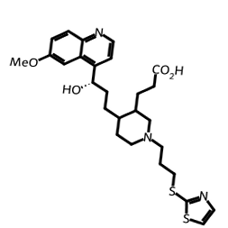 COc1ccc2nccc([C@@H](O)CCC3CCN(CCCSc4nccs4)CC3CCC(=O)O)c2c1